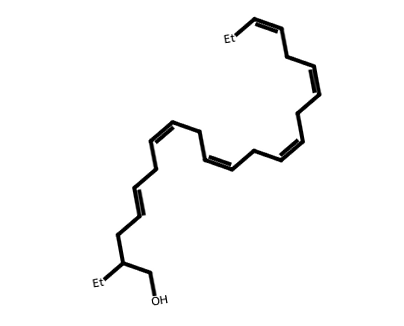 CC/C=C\C/C=C\C/C=C\C/C=C\C/C=C\C/C=C/CC(CC)CO